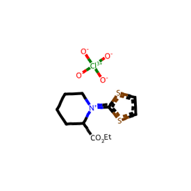 CCOC(=O)C1CCCC[N+]1=c1sccs1.[O-][Cl+3]([O-])([O-])[O-]